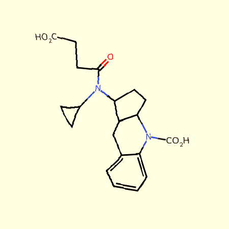 O=C(O)CCC(=O)N(C1CC1)C1CCC2C1Cc1ccccc1N2C(=O)O